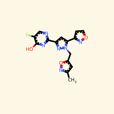 Cc1cc(Cn2nc(-c3ncc(F)c(O)n3)cc2-c2ccon2)on1